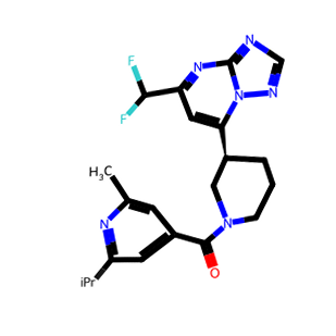 Cc1cc(C(=O)N2CCC[C@H](c3cc(C(F)F)nc4ncnn34)C2)cc(C(C)C)n1